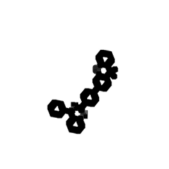 CC1(C)c2ccccc2Oc2cc(-c3ccc(-c4nc(-c5ccccc5)c5ccccc5n4)cc3)ccc21